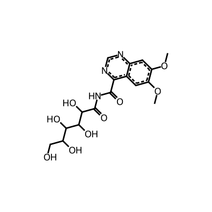 COc1cc2ncnc(C(=O)NC(=O)C(O)C(O)C(O)C(O)CO)c2cc1OC